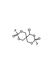 O=P1(F)OCC2(CO1)COP(=O)(F)OC2Cl